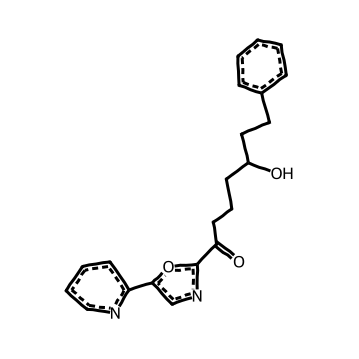 O=C(CCCC(O)CCc1ccccc1)c1ncc(-c2ccccn2)o1